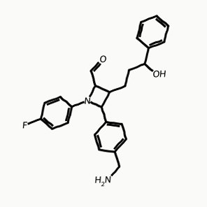 NCc1ccc(C2C(CCC(O)c3ccccc3)C(C=O)N2c2ccc(F)cc2)cc1